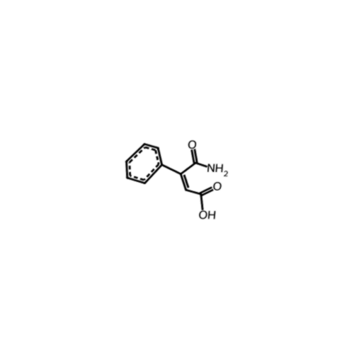 NC(=O)C(=CC(=O)O)c1ccccc1